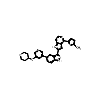 Cc1ccc(-c2nccc3[nH]c(-c4n[nH]c5ccc(-c6cncc(OC7CCNCC7)c6)cc45)cc23)s1